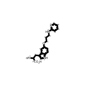 CCCC(Cc1c[nH]c2ccc(OCCCNc3ccccn3)cc12)C(=O)O